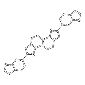 c1cc2ccc(-c3cc4ccc5c(ccc6cc(-c7ccc8ccsc8c7)sc65)c4s3)cc2s1